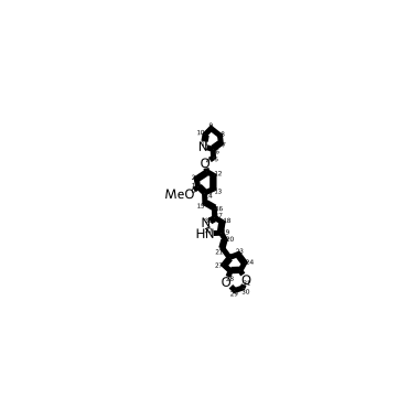 COc1cc(OCC2=CCCC=N2)ccc1/C=C/c1cc(/C=C/c2ccc3c(c2)OCCO3)[nH]n1